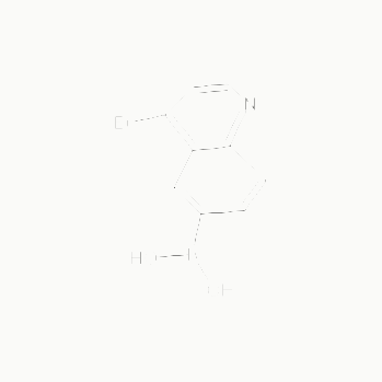 CCc1ccnc2ccc(B(O)O)cc12